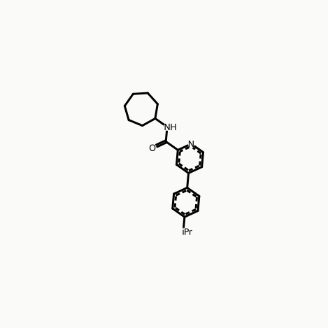 CC(C)c1ccc(-c2ccnc(C(=O)NC3CCCCCC3)c2)cc1